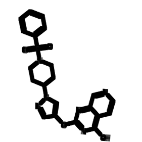 O=S(=O)(c1ccccc1)N1CCC(n2cc(Oc3nc(O)c4ccncc4n3)cn2)CC1